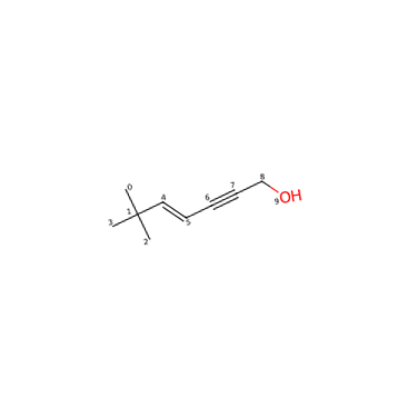 CC(C)(C)/C=C/C#CCO